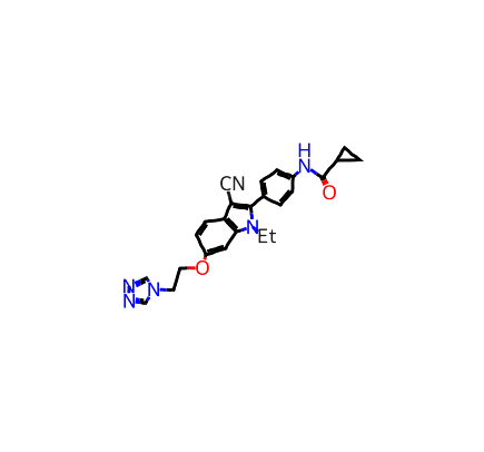 CCn1c(-c2ccc(NC(=O)C3CC3)cc2)c(C#N)c2ccc(OCCn3cnnc3)cc21